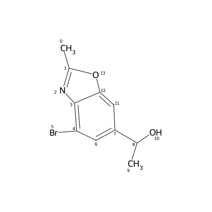 Cc1nc2c(Br)cc(C(C)O)cc2o1